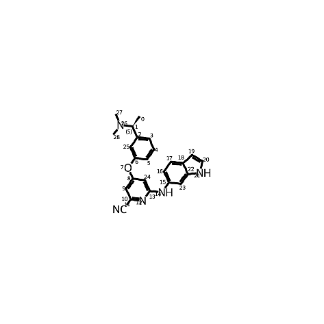 C[C@@H](c1cccc(Oc2cc(C#N)nc(Nc3ccc4cc[nH]c4c3)c2)c1)N(C)C